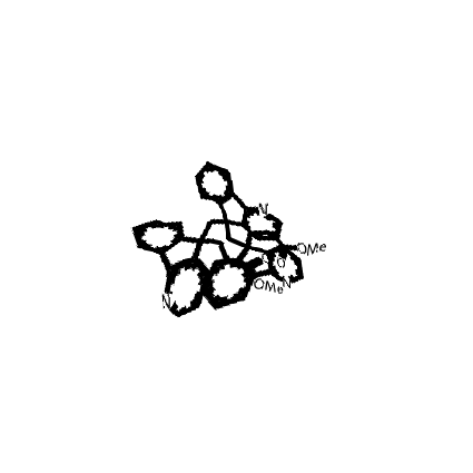 COC(=O)CCC1(CC2(CC3(CCC(=O)OC)c4ccccc4-c4ncccc43)c3ccccc3-c3ncccc32)c2ccccc2-c2ncccc21